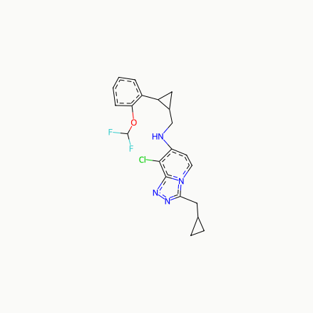 FC(F)Oc1ccccc1C1CC1CNc1ccn2c(CC3CC3)nnc2c1Cl